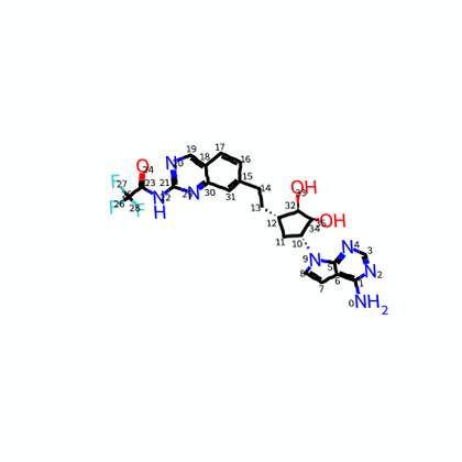 Nc1ncnc2c1ccn2[C@@H]1C[C@H](CCc2ccc3cnc(NC(=O)C(F)(F)F)nc3c2)[C@@H](O)[C@H]1O